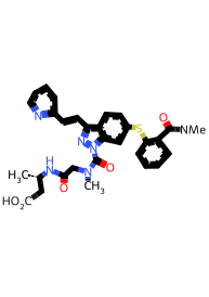 CNC(=O)c1ccccc1Sc1ccc2c(/C=C/c3ccccn3)nn(C(=O)N(C)CC(=O)N[C@@H](C)CC(=O)O)c2c1